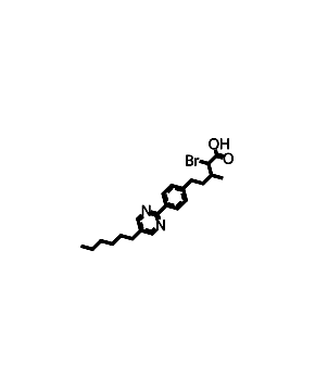 CCCCCCc1cnc(-c2ccc(CCC(C)C(Br)C(=O)O)cc2)nc1